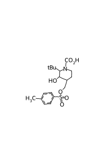 Cc1ccc(S(=O)(=O)OCC2CCN(C(=O)O)C(C(C)(C)C)C2O)cc1